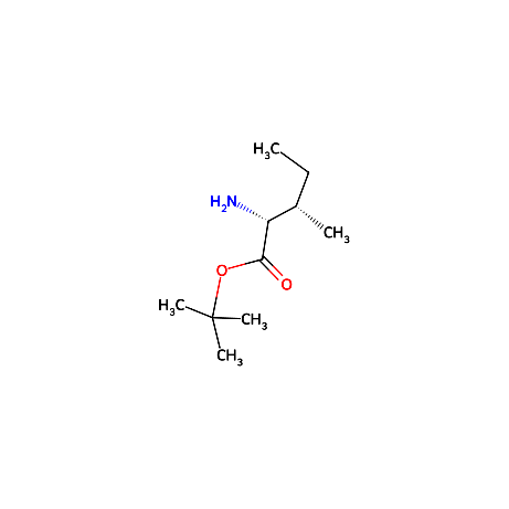 CC[C@H](C)[C@@H](N)C(=O)OC(C)(C)C